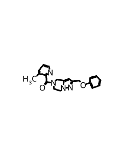 Cc1cccnc1C(=O)N1CCn2nc(COc3ccccc3)cc2C1